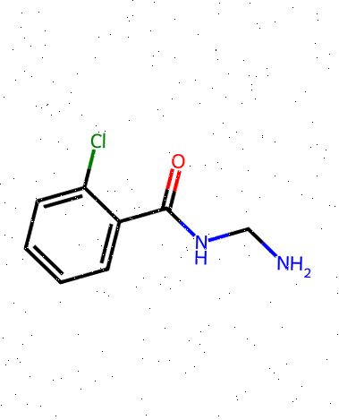 NCNC(=O)c1ccccc1Cl